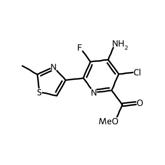 COC(=O)c1nc(-c2csc(C)n2)c(F)c(N)c1Cl